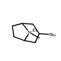 CC[N+]1(C)C2CCC1CC(C(C)(C)C)C2